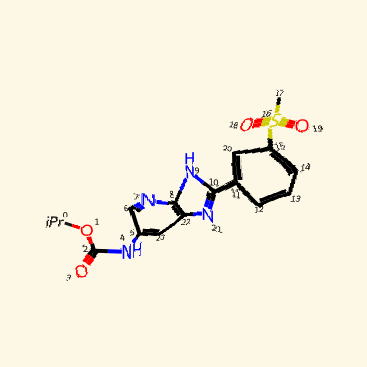 CC(C)OC(=O)Nc1cnc2[nH]c(-c3cccc(S(C)(=O)=O)c3)nc2c1